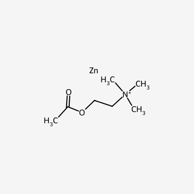 CC(=O)OCC[N+](C)(C)C.[Zn]